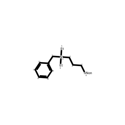 CCCCCCCCCCCC[N+](CC)(CC)Cc1ccccc1